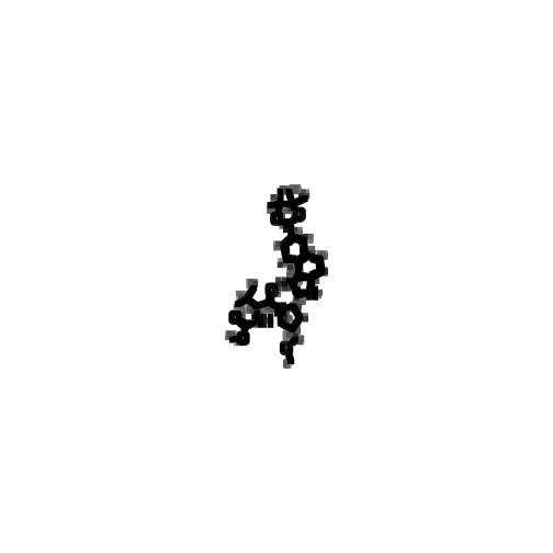 COC[C@H]1C[C@@H](c2nc3ccc4cc(B5OC(C)(C)C(C)(C)O5)ccc4c3[nH]2)N(C(=O)[C@@H](NC(=O)OC)C(C)C)C1